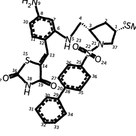 CS[C@H]1C[C@@H](CNc2cc(N)ccc2/C=C2\SC(=O)NC2=O)N(S(=O)(=O)c2ccc(-c3ccccc3)cc2)C1